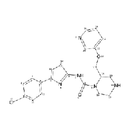 O=C(Nc1nc(-c2ccc(Cl)cc2)cs1)N1CCNCC1COc1cccnc1